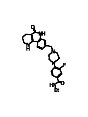 CCNC(=O)c1ccc(N2CCN(Cc3ccc4c5c(c(=O)[nH]c4c3)CCCN5)CC2)c(F)c1